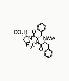 CN[C@@H](Cc1ccccc1)C(=O)N(C)[C@@H](Cc1ccccc1)C(=O)N1CCC[C@H]1C(=O)O